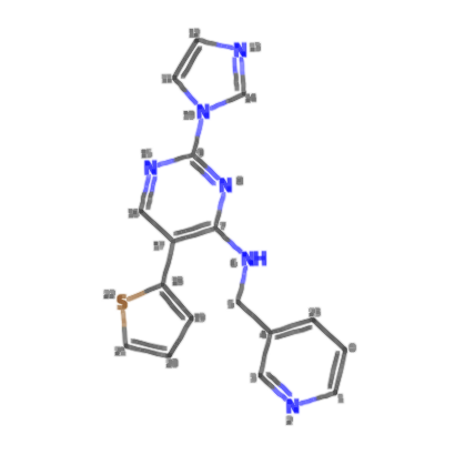 c1cncc(CNc2nc(-n3ccnc3)ncc2-c2cccs2)c1